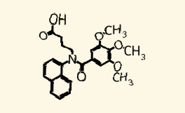 COc1cc(C(=O)N(CCCC(=O)O)c2cccc3ccccc23)cc(OC)c1OC